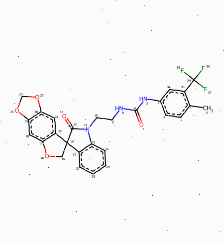 Cc1ccc(NC(=O)NCCN2C(=O)C3(COc4cc5c(cc43)OCO5)c3ccccc32)cc1C(F)(F)F